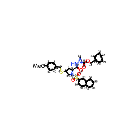 COc1ccc(CS[C@@H]2C[C@@H](C(=O)NN(C)C(=O)OCc3ccccc3)N(S(=O)(=O)c3ccc4ccccc4c3)C2)cc1